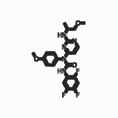 COCC(C)Nc1nccc(N(C(=O)Nc2cc(F)c(F)cc2F)c2ccc(OC)cc2)n1